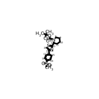 CC(C)(C)OC(=O)N1CCCCC1c1nc(-c2ccc(S(C)(=O)=O)cc2)cs1